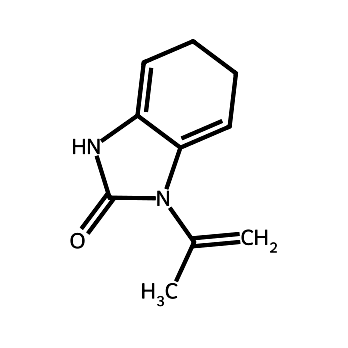 C=C(C)n1c(=O)[nH]c2c1=CCCC=2